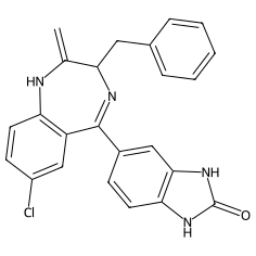 C=C1Nc2ccc(Cl)cc2C(c2ccc3[nH]c(=O)[nH]c3c2)=NC1Cc1ccccc1